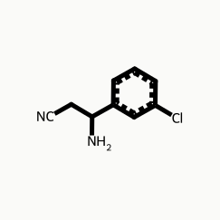 N#CCC(N)c1cccc(Cl)c1